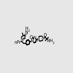 CCCC(Cc1ccc(-n2ccc(N3CCN(C(=O)C(C)(C)N)CC3)nc2=O)cc1)N1CC(C)[C@H](CN)C1